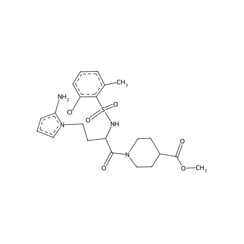 COC(=O)C1CCN(C(=O)C(CCn2cccc2N)NS(=O)(=O)c2c(C)cccc2Cl)CC1